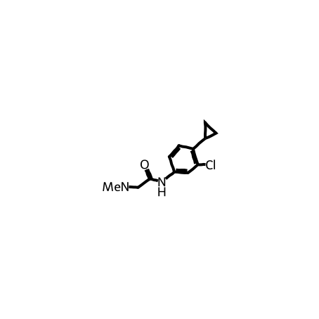 CNCC(=O)Nc1ccc(C2CC2)c(Cl)c1